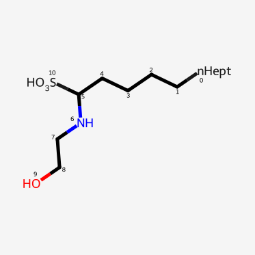 CCCCCCCCCCCC(NCCO)S(=O)(=O)O